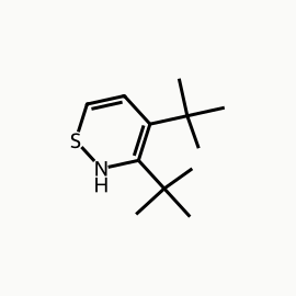 CC(C)(C)C1=C(C(C)(C)C)NSC=C1